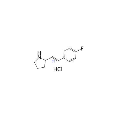 Cl.Fc1ccc(/C=C/C2CCCN2)cc1